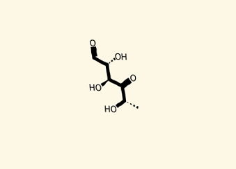 C[C@H](O)C(=O)[C@@H](O)[C@@H](O)C=O